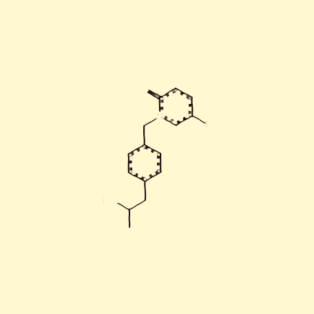 CC(O)Cc1ccc(Cn2cc(F)ccc2=O)cc1